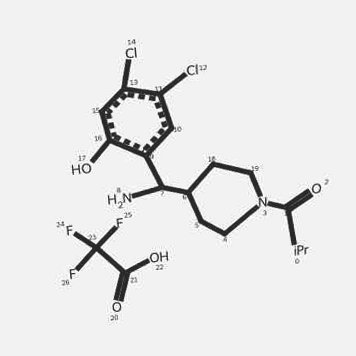 CC(C)C(=O)N1CCC(C(N)c2cc(Cl)c(Cl)cc2O)CC1.O=C(O)C(F)(F)F